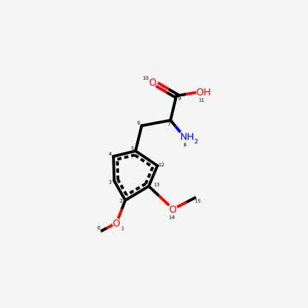 COc1ccc(CC(N)C(=O)O)cc1OC